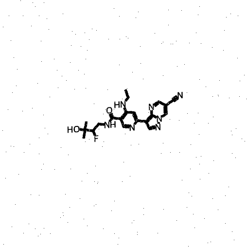 CCNc1cc(-c2cnn3cc(C#N)cnc23)ncc1C(=O)NCC(F)C(C)(C)O